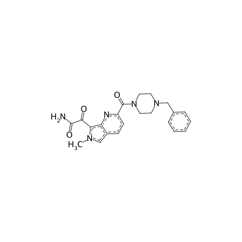 Cn1cc2ccc(C(=O)N3CCN(Cc4ccccc4)CC3)nc2c1C(=O)C(N)=O